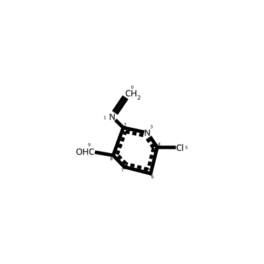 C=Nc1nc(Cl)ccc1C=O